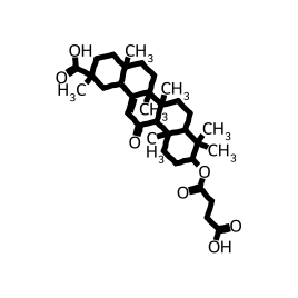 CC1(C(=O)O)CCC2(C)CCC3(C)C(=CC(=O)C4C5(C)CCC(OC(=O)CCC(=O)O)C(C)(C)C5CCC43C)C2C1